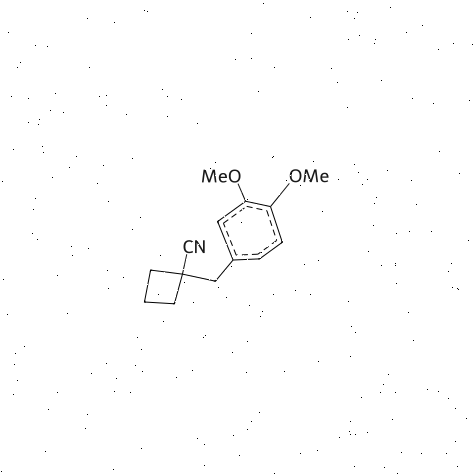 COc1ccc(CC2(C#N)CCC2)cc1OC